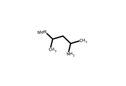 CNC(C)CC(C)N